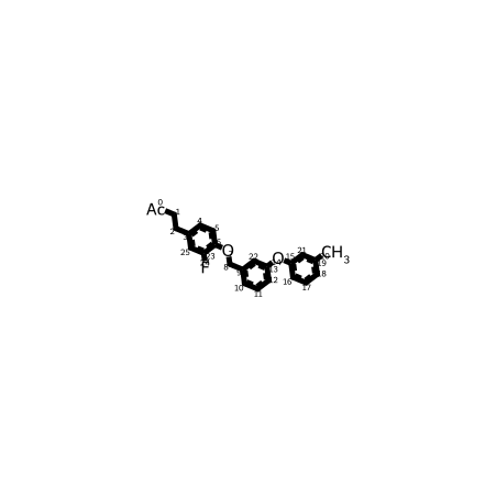 CC(=O)CCc1ccc(OCc2cccc(Oc3cccc(C)c3)c2)c(F)c1